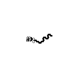 CC/C=C\C/C=C\C/C=C\C/C=C\C/C=C\CCCC(=O)O[C@@H]1CN[P@@](=O)(OC)OC1